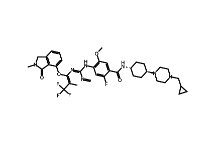 C=N/C(=N\C(Oc1cccc2c1C(=O)N(C)C2)=C(/C)C(F)(F)F)Nc1cc(F)c(C(=O)N[C@H]2CC[C@H](N3CCN(CC4CC4)CC3)CC2)cc1OC